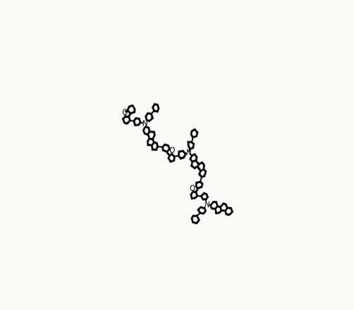 c1ccc(-c2ccc(N(c3cccc(-c4cccc5oc6cc(-c7ccc8ccc9c%10ccc(N(c%11ccc(-c%12ccccc%12)cc%11)c%11ccc(-c%12cccc%13c%12oc%12ccc(-c%14ccc%15ccc%16c%17ccc(N(c%18ccc(-c%19ccccc%19)cc%18)c%18ccc(-c%19cccc%20oc%21ccccc%21c%19%20)cc%18)cc%17ccc%16c%15c%14)cc%12%13)cc%11)cc%10ccc9c8c7)ccc6c45)c3)c3ccc4c(ccc5c6ccccc6ccc45)c3)cc2)cc1